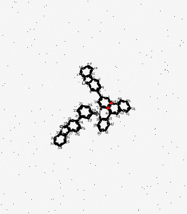 c1cc(-c2ccc3c(c2)oc2ccccc23)cc(N(c2cccc(-c3ccc4c(c3)sc3ccccc34)c2)c2ccccc2-c2ccc3ccccc3c2)c1